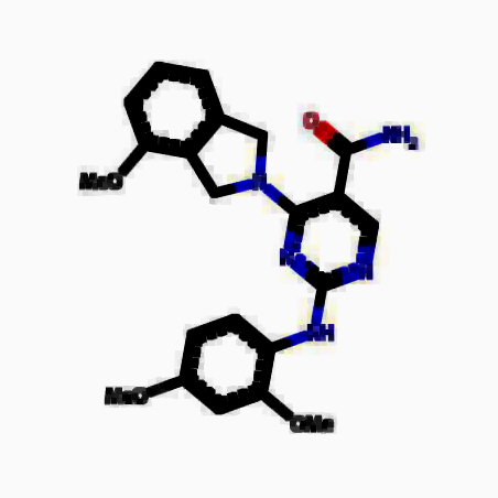 COc1ccc(Nc2ncc(C(N)=O)c(N3Cc4cccc(OC)c4C3)n2)c(OC)c1